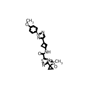 COc1ccc(-n2ncc(C34CC(NC(=O)c5nc(C6(S(C)(=O)=O)CC6)ns5)(C3)C4)n2)cc1